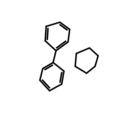 C1CCCCC1.c1ccc(-c2ccccc2)cc1